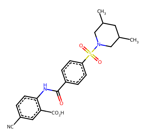 CC1CC(C)CN(S(=O)(=O)c2ccc(C(=O)Nc3ccc(C#N)cc3C(=O)O)cc2)C1